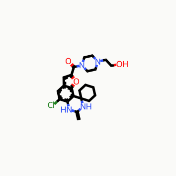 C=C1Nc2c(Cl)cc3cc(C(=O)N4CCN(CCO)CC4)oc3c2C2(CCCCC2)N1